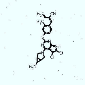 C=C/C(C#N)=C\c1ccc(Sc2nc(N3CC4C(N)C4C3)c3c(Cl)c(CC)[nH]c3n2)cc1C